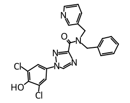 O=C(c1ncn(-c2cc(Cl)c(O)c(Cl)c2)n1)N(Cc1ccccc1)Cc1cccnc1